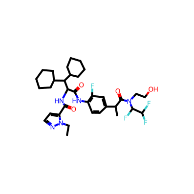 CCn1nccc1C(=O)NC(C(=O)Nc1ccc(C(C)C(=O)N(CCO)C(F)C(F)F)cc1F)C(C1CCCCC1)C1CCCCC1